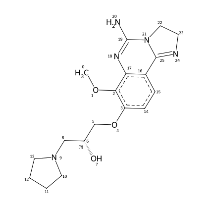 COc1c(OC[C@H](O)CN2CCCC2)ccc2c1N=C(N)N1CCN=C21